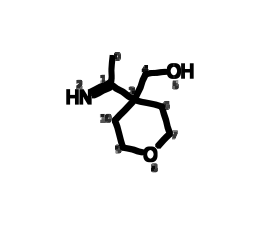 CC(=N)C1(CO)CCOCC1